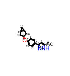 CC(=O)c1cc(-c2ccc(OC3CC4CC4C3)cc2)n[nH]1